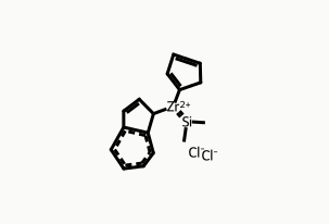 C[Si](C)=[Zr+2]([C]1=CC=CC1)[CH]1C=Cc2ccccc21.[Cl-].[Cl-]